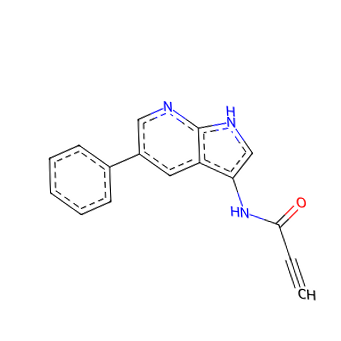 C#CC(=O)Nc1c[nH]c2ncc(-c3ccccc3)cc12